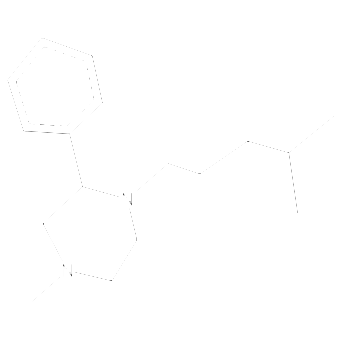 CC(C)CCCN1CCN(C)CC1c1ccccc1